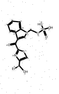 CC[C@H](O)c1csc(C(=O)c2cn(COP(=O)(O)O)c3ccccc23)n1